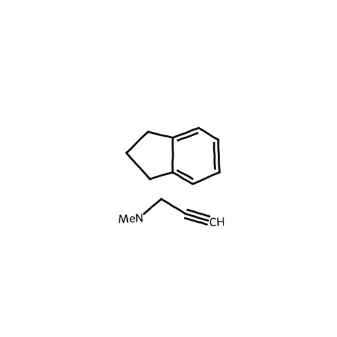 C#CCNC.c1ccc2c(c1)CCC2